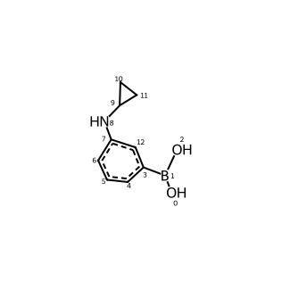 OB(O)c1cccc(NC2CC2)c1